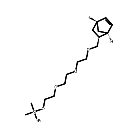 CC(C)(C)[Si](C)(C)OCCOCCOCCOC[C@H]1C[C@@H]2C=C[C@@H]1C2